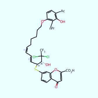 CCCc1c(OCCCCC/C=C\C=C\[C@H](Sc2ccc3c(=O)cc(C(=O)O)oc3c2)[C@@H](O)C(Cl)(Cl)C(F)(F)F)ccc(C(C)=O)c1O